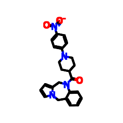 O=C(C1CCN(c2ccc([N+](=O)[O-])cc2)CC1)N1Cc2cccn2Cc2ccccc21